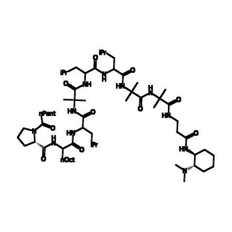 CCCCCCCCC(NC(=O)[C@@H]1CCCN1C(=O)CCCCC)C(=O)NC(CC(C)C)C(=O)NC(C)(C)C(=O)NC(CC(C)C)C(=O)NC(CC(C)C)C(=O)NC(C)(C)C(=O)NC(C)(C)C(=O)NCCC(=O)N[C@H]1CCCC[C@@H]1N(C)C